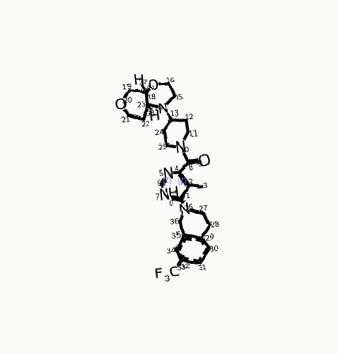 C=C(/C(C)=C(\N=C/N)C(=O)N1CCC(N2CCO[C@H]3COCC[C@H]32)CC1)N1CCc2ccc(C(F)(F)F)cc2C1